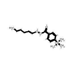 [CH2]CCCCCOOC(=O)c1ccc([Si](C)(C)C)cc1